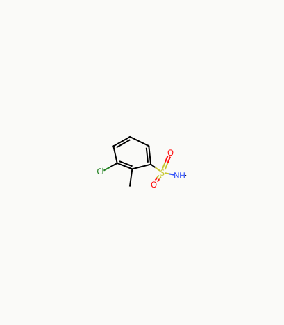 Cc1c(Cl)cccc1S([NH])(=O)=O